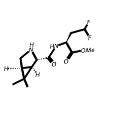 COC(=O)[C@H](CC(F)F)NC(=O)[C@H]1NC[C@H]2[C@@H]1C2(C)C